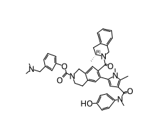 Cc1c(C(=O)N(C)c2ccc(O)cc2)cc(-c2cc3c(cc2C(=O)N2Cc4ccccc4C[C@H]2C)CN(C(=O)Oc2cccc(CN(C)C)c2)CC3)n1C